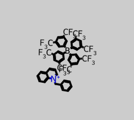 FC(F)(F)c1cc([B-](c2cc(C(F)(F)F)cc(C(F)(F)F)c2)(c2cc(C(F)(F)F)cc(C(F)(F)F)c2)c2cc(C(F)(F)F)cc(C(F)(F)F)c2)cc(C(F)(F)F)c1.c1ccc(C[n+]2cccc3ccccc32)cc1